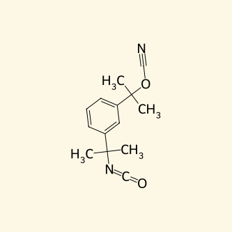 CC(C)(N=C=O)c1cccc(C(C)(C)OC#N)c1